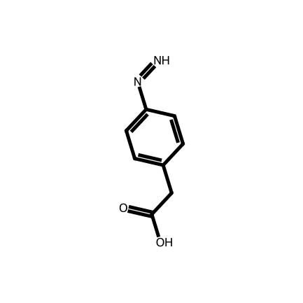 N=Nc1ccc(CC(=O)O)cc1